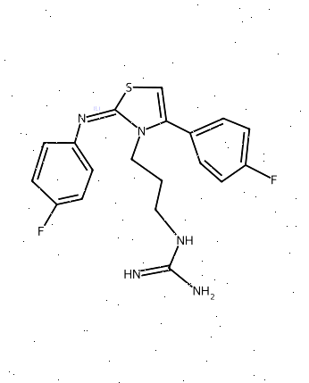 N=C(N)NCCCn1c(-c2ccc(F)cc2)cs/c1=N/c1ccc(F)cc1